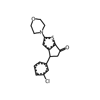 O=C1CC(c2cccc(Cl)c2)c2cc(N3CCOCC3)sc21